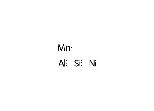 [Al].[Mn].[Ni].[Si]